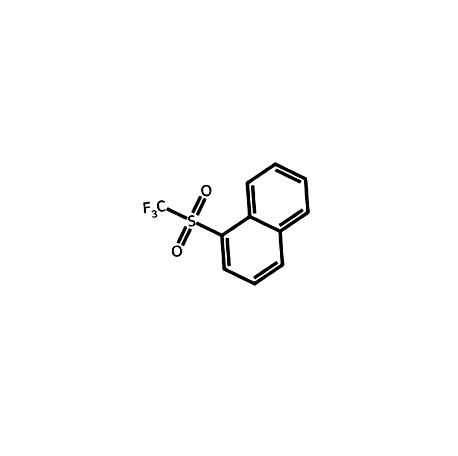 O=S(=O)(c1cccc2ccccc12)C(F)(F)F